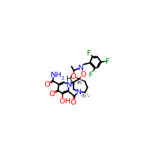 CC1O[C@]2(CC[C@H](C)N3C[C@H]2n2cc(C(N)=O)c(=O)c(O)c2C3=O)ON1Cc1c(F)cc(F)cc1F